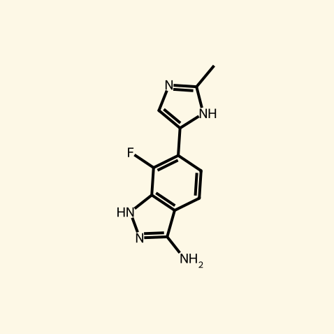 Cc1ncc(-c2ccc3c(N)n[nH]c3c2F)[nH]1